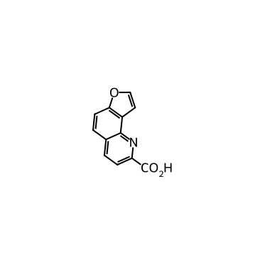 O=C(O)c1ccc2ccc3occc3c2n1